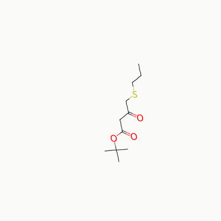 CCCSCC(=O)CC(=O)OC(C)(C)C